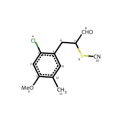 COc1cc(Cl)c(CC(C=O)SC#N)cc1C